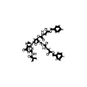 CC(C)C(=O)Nc1nc2c(ncn2[C@H]2C[C@@H](OC(=O)NCC(=O)OCc3ccccc3)[C@@H](COC(=O)NCC(=O)OCc3ccccc3)O2)c(=O)[nH]1